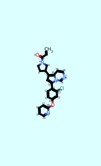 C=CC(=O)N1CCC(c2cc(-c3ccc(Oc4ccccn4)cc3Cl)n3cnccc23)C1